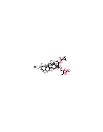 Cc1oc(=O)oc1COC(=O)[C@]1(C)[C@@H](OC(=O)C2CC2)CC[C@@]2(C)[C@H]1CC[C@]1(C)[C@@H]2C(=O)C=C2[C@@H]3C[C@@](C)(C(=O)O)CC[C@]3(C)CC[C@]21C